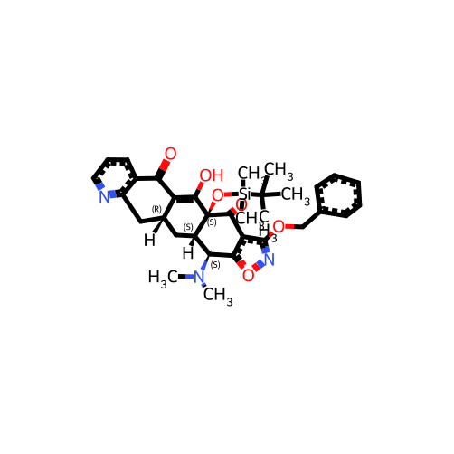 CN(C)[C@@H]1c2onc(OCc3ccccc3)c2C(=O)[C@@]2(O[Si](C)(C)C(C)(C)C)C(O)=C3C(=O)c4cccnc4C[C@H]3C[C@@H]12